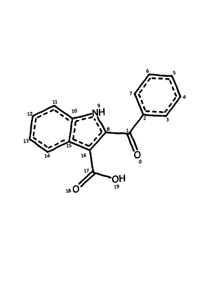 O=C(c1ccccc1)c1[nH]c2ccccc2c1C(=O)O